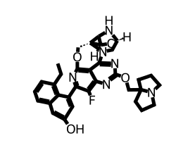 CCc1cccc2cc(O)cc(-c3nc4c5c(nc(OCC67CCCN6CCC7)nc5c3F)N3C[C@H]5C[C@H]6C(N5)[C@@]63CO4)c12